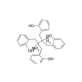 NC(Cc1ccccc1O)(Cc1ccccc1O)C(N)(Cc1ccccc1O)Cc1ccccc1O